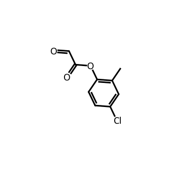 Cc1cc(Cl)ccc1OC(=O)C=O